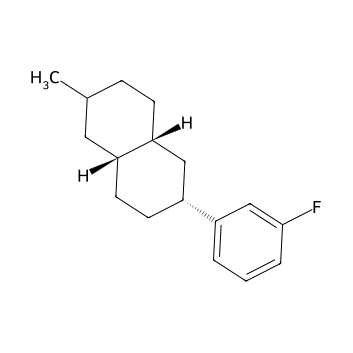 CC1CC[C@@H]2C[C@H](c3cccc(F)c3)CC[C@@H]2C1